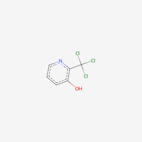 Oc1cccnc1C(Cl)(Cl)Cl